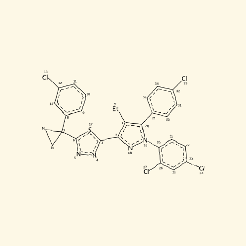 CCc1c(-c2nnc(C3(c4cccc(Cl)c4)CC3)s2)nn(-c2ccc(Cl)cc2Cl)c1-c1ccc(Cl)cc1